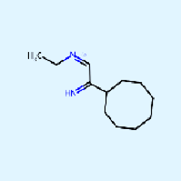 CC/N=C\C(=N)C1CCCCCCC1